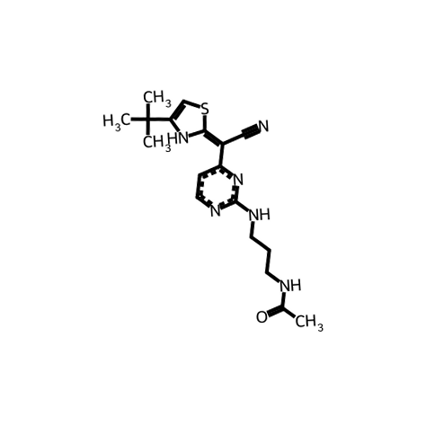 CC(=O)NCCCNc1nccc(C(C#N)=C2NC(C(C)(C)C)=CS2)n1